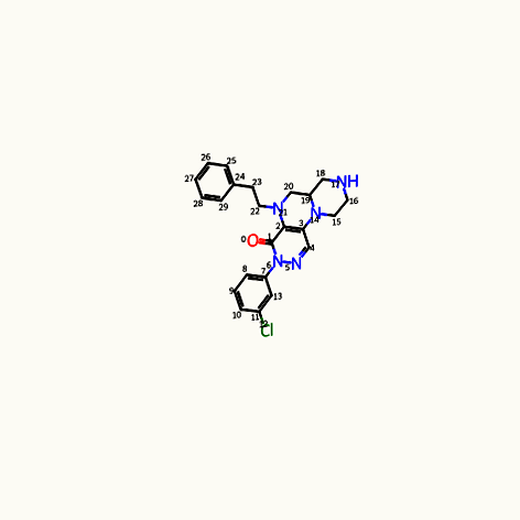 O=c1c2c(cnn1-c1cccc(Cl)c1)N1CCNCC1CN2CCc1ccccc1